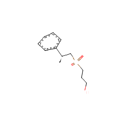 C[C@H](CS(=O)(=O)CCCO)c1ccccc1